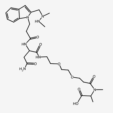 CNN(C)Cc1cc2ccccc2n1CCC(=O)NC(CC(N)=O)C(=O)NCCOCCOCCC(=O)N(C)C(C)C(=O)O